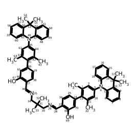 Cc1cc(N2c3ccccc3C(C)(C)c3ccccc32)cc(C)c1-c1ccc(/C=N/CC(C)(C)C/N=C/c2ccc(-c3c(C)cc(N4c5ccccc5C(C)(C)c5ccccc54)cc3C)cc2O)c(O)c1